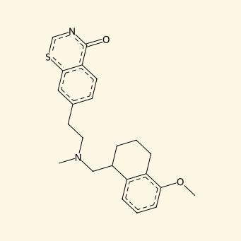 COc1cccc2c1CCCC2CN(C)CCc1ccc2c(=O)ncsc2c1